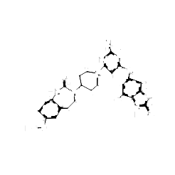 COc1ccc2c(c1)CCN(C1CCN(c3cc(Oc4cc(C)c5[nH]c(=O)oc5c4)nc(N)n3)CC1)C(=O)N2